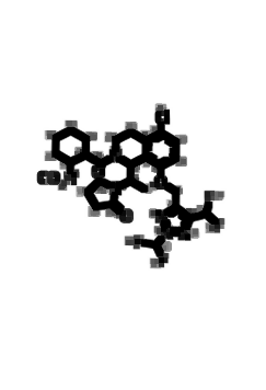 CC(C1c2c(OCc3nn(C(F)F)nc3C(F)F)ccc(Cl)c2CCN1C(=O)C1CCCCC1C(=O)O)N1CCCC1=O